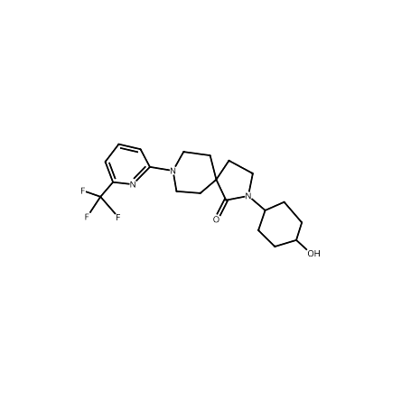 O=C1N(C2CCC(O)CC2)CCC12CCN(c1cccc(C(F)(F)F)n1)CC2